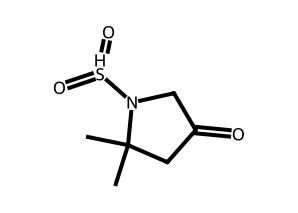 CC1(C)CC(=O)CN1[SH](=O)=O